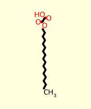 CCCCCCCCCCCCCCCCCCOC(=O)C(=O)O